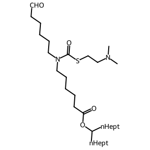 CCCCCCCC(CCCCCCC)OC(=O)CCCCCN(CCCCCC=O)C(=O)SCCN(C)C